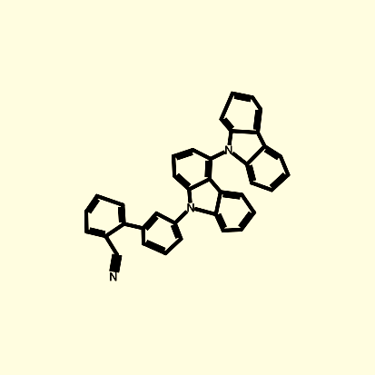 N#Cc1ccccc1-c1cccc(-n2c3ccccc3c3c(-n4c5ccccc5c5ccccc54)cccc32)c1